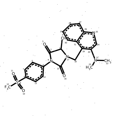 CC1C(=O)N(c2ccc(S(=O)(=O)C(F)(F)F)cc2)C(=O)N1Cc1c(N(C)C)cnc2ccccc12